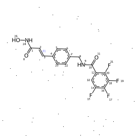 O=C(/C=C/c1ccc(CNC(=O)c2cc(F)c(F)c(F)c2F)cc1)NO